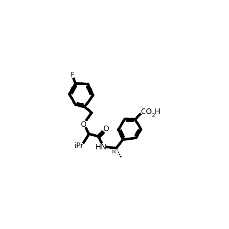 CC(C)C(OCc1ccc(F)cc1)C(=O)N[C@@H](C)c1ccc(C(=O)O)cc1